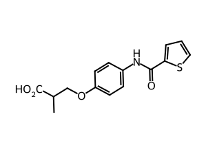 CC(COc1ccc(NC(=O)c2cccs2)cc1)C(=O)O